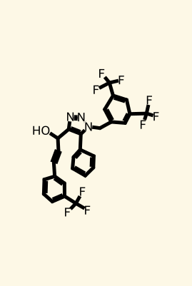 OC(C#Cc1cccc(C(F)(F)F)c1)c1nnn(Cc2cc(C(F)(F)F)cc(C(F)(F)F)c2)c1-c1ccccc1